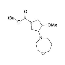 COC1CN(C(=O)OC(C)(C)C)CC1N1CCCOCC1